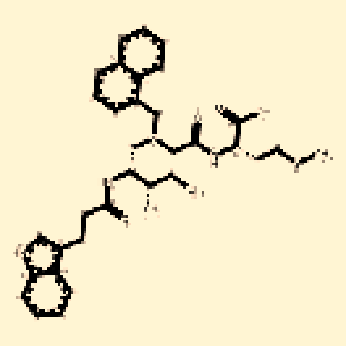 CC[C@H](C)[C@@H](CN(CC(=O)N[C@@H](CCSC)C(=O)O)Cc1cccc2ccccc12)NC(=O)CCc1c[nH]c2ccccc12